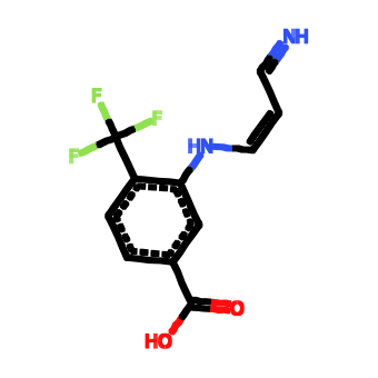 N=C/C=C\Nc1cc(C(=O)O)ccc1C(F)(F)F